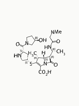 CNCC(=O)N[C@H](C)[C@H]1C(=O)N2C(C(=O)O)=C(S[C@@H]3CN[C@H](C(=O)N4CC[C@@H](O)C4)C3)[C@H](C)[C@H]12